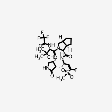 CC(C)(C)[C@H](NC(=O)C(F)(F)F)C(=O)N1C[C@H]2CCC[C@H]2[C@H]1C(=O)N[C@H](/C=C(/F)S(C)(=O)=O)C[C@H]1CCNC1=O